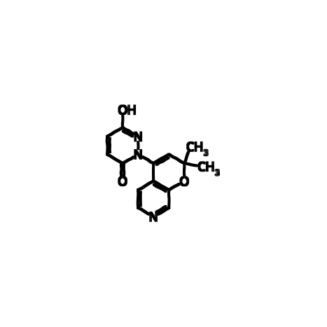 CC1(C)C=C(n2nc(O)ccc2=O)c2ccncc2O1